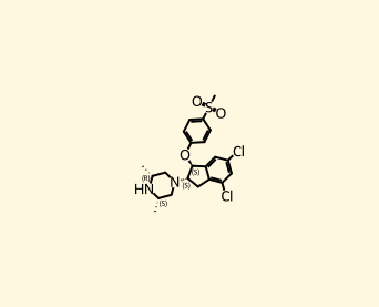 C[C@@H]1CN([C@H]2Cc3c(Cl)cc(Cl)cc3[C@@H]2Oc2ccc(S(C)(=O)=O)cc2)C[C@H](C)N1